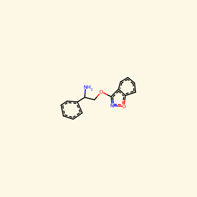 NC(COc1noc2ccccc12)c1ccccc1